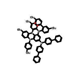 CC(C)(C)c1ccc(-c2cc(C(C)(C)C)ccc2N2c3ccc(C(C)(C)C)cc3B3c4cc(C(C)(C)C)ccc4N(c4ccc(C(C)(C)C)cc4)c4cc(N(c5ccc(-c6ccccc6)cc5)c5ccc(-c6ccccc6)cc5)cc2c43)cc1